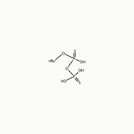 CCCCOP(O)(=S)OP(O)(O)=S